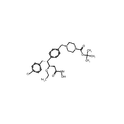 CCO[C@H](CC(=O)NO)[C@H](Cc1ccc(Cl)cc1)c1ccc(CN2CCN(C(=O)OC(C)(C)C)CC2)cc1